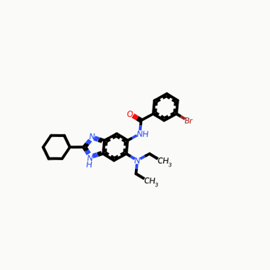 CCN(CC)c1cc2[nH]c(C3CCCCC3)nc2cc1NC(=O)c1cccc(Br)c1